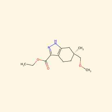 CCOC(=O)c1n[nH]c2c1CC[C@](C)(COC)C2